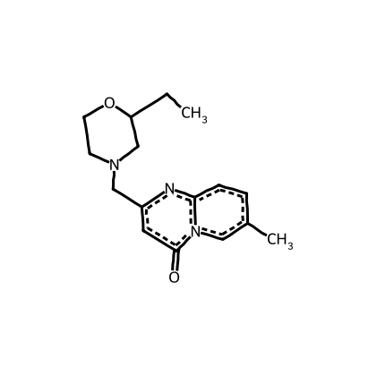 CCC1CN(Cc2cc(=O)n3cc(C)ccc3n2)CCO1